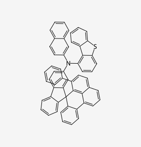 c1ccc(-c2ccc3cccc4c3c2C2(c3ccccc3-c3ccc(N(c5ccc6ccccc6c5)c5cccc6sc7ccccc7c56)cc32)c2ccccc2-4)cc1